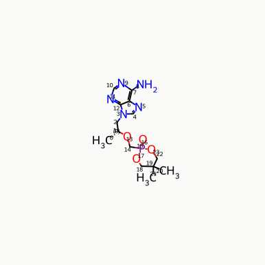 C[C@H](Cn1cnc2c(N)ncnc21)OCP1(=O)OCC(C)(C)CO1